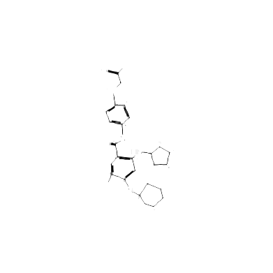 O=C(O)COc1ccc(NC(=O)c2cc(F)c(NC3CCCCC3)cc2NC2CCCC2)cc1